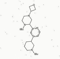 CC(C)(C)N1CCCC(c2ccnc(C3CN(C4COC4)CCN3C(C)(C)C)c2)C1